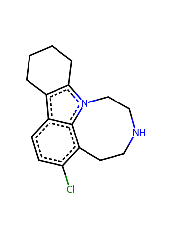 Clc1ccc2c3c(n4c2c1CCNCC4)CCCC3